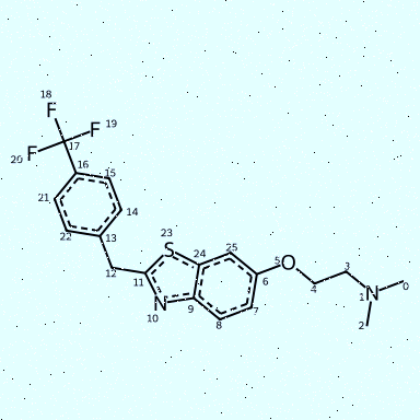 CN(C)CCOc1ccc2nc(Cc3ccc(C(F)(F)F)cc3)sc2c1